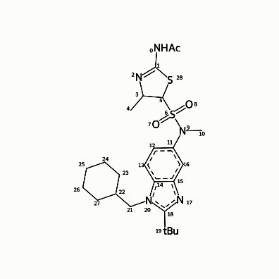 CC(=O)NC1=NC(C)C(S(=O)(=O)N(C)c2ccc3c(c2)nc(C(C)(C)C)n3CC2CCCCC2)S1